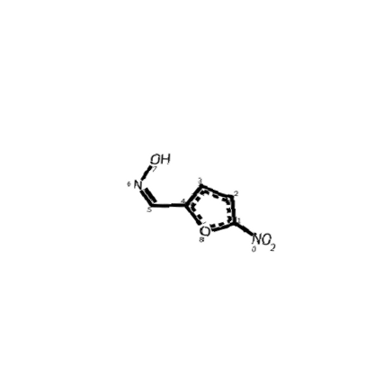 O=[N+]([O-])c1ccc(/C=N\O)o1